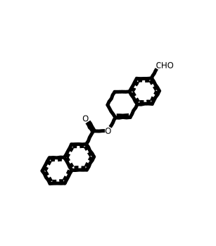 O=Cc1ccc2c(c1)CCC(OC(=O)c1ccc3ccccc3c1)=C2